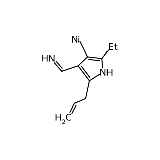 C=CCc1[nH]c(CC)[c]([Ni])c1C=N